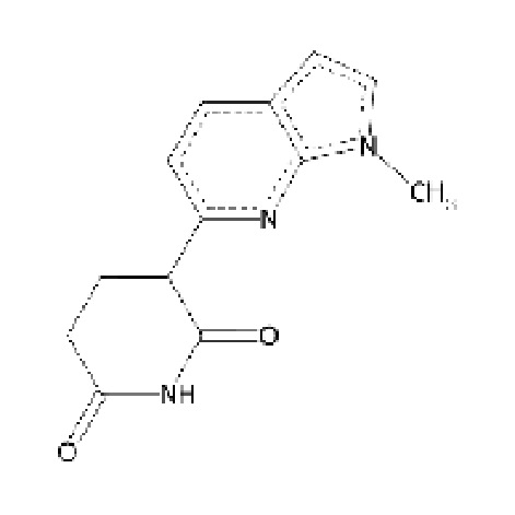 Cn1ccc2ccc(C3CCC(=O)NC3=O)nc21